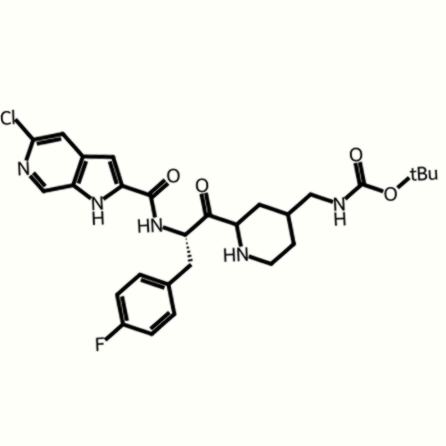 CC(C)(C)OC(=O)NCC1CCNC(C(=O)[C@H](Cc2ccc(F)cc2)NC(=O)c2cc3cc(Cl)ncc3[nH]2)C1